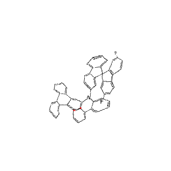 Fc1ccc2c(c1)C1(c3ccccc3-c3ccc(N(c4ccc5c6ccccc6c6ccccc6c5c4)c4ccccc4-c4ccccc4)cc31)c1cc(F)ccc1-2